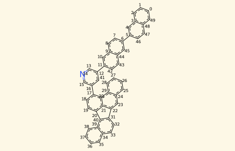 c1ccc2cc(-c3ccc4cc(-c5cncc(-c6ccc7c8c(cc9ccccc9c68)-c6ccc8ccccc8c6-7)c5)ccc4c3)ccc2c1